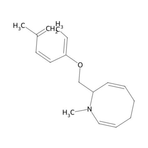 C=C(C)/C=C\C(=C/C)OCC1C=CCC/C=C\N1C